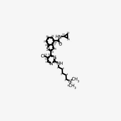 CN(C)CCCCCNc1ncc(Cl)c(-c2cc3c(C(=O)NC4CC4)cccc3s2)n1